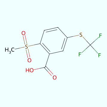 CS(=O)(=O)c1ccc(SC(F)(F)F)cc1C(=O)O